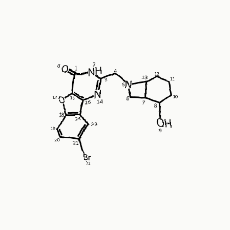 O=c1[nH]c(CN2CC3C(O)CCCC32)nc2c1oc1ccc(Br)cc12